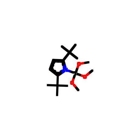 C[O][Ti]([O]C)([O]C)[n]1c(C(C)(C)C)ccc1C(C)(C)C